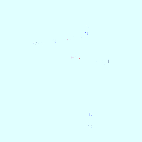 COc1ccc(-c2ccc(CC[C@@H](O)[C@H](CCn3nnc4cccc(-c5ccc(OC)nc5)c4c3=O)C(=O)O)cc2)cn1